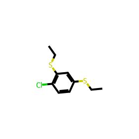 CCSc1ccc(Cl)c(SCC)c1